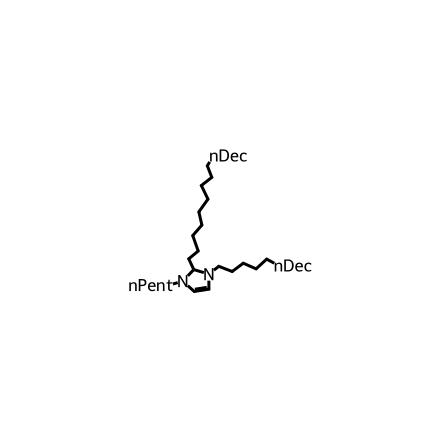 CCCCCCCCCCCCCCCCCCCC1N(CCCCC)C=CN1CCCCCCCCCCCCCCC